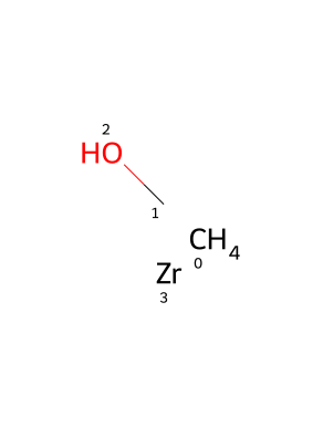 C.CO.[Zr]